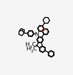 CC1(C)c2ccc(-c3ccccc3)cc2-c2cc(-c3ccccc3)c(N(c3ccc(C4CCCCC4)cc3)c3ccc(C45CCC(CC4)C5)cc3)cc21